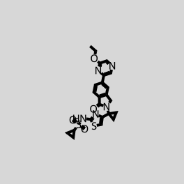 CCOc1cncc(-c2ccc3c(c2)CN(C2(c4csc(NS(=O)(=O)C5CC5)n4)CC2)C3=O)n1